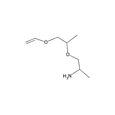 C=COCC(C)OCC(C)N